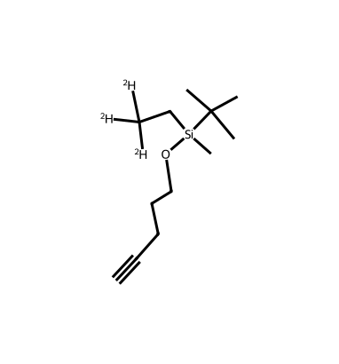 [2H]C([2H])([2H])C[Si](C)(OCCCC#C)C(C)(C)C